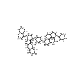 c1ccc(-c2ccc3ccc4c(-c5ccc(-c6ccc(-c7cccc8ccccc78)c7oc8cc9ccccc9cc8c67)cc5)ccc5ccc2c3c54)cc1